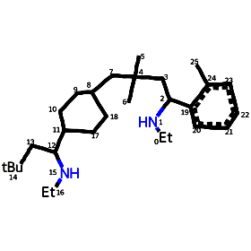 CCNC(CC(C)(C)CC1CCC(C(CC(C)(C)C)NCC)CC1)c1ccccc1C